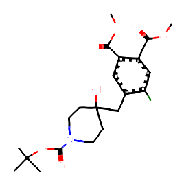 COC(=O)c1cc(F)c(CC2(O)CCN(C(=O)OC(C)(C)C)CC2)cc1C(=O)OC